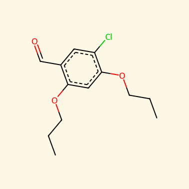 CCCOc1cc(OCCC)c(C=O)cc1Cl